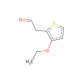 CCOc1ccsc1CC=O